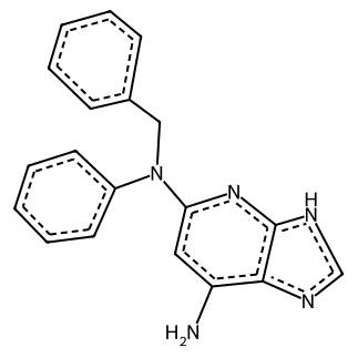 Nc1cc(N(Cc2ccccc2)c2ccccc2)nc2[nH]cnc12